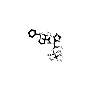 CC(O[Si](C)(C)C(C)(C)C)[C@H](NC(=O)C1(C(C)O)CCCN1Cc1ccccc1)c1nnco1